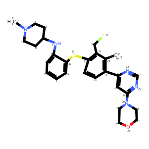 CN1CCC(Nc2ccccc2Sc2ccc(-c3cc(N4CCOCC4)ncn3)c(C(F)(F)F)c2CF)CC1